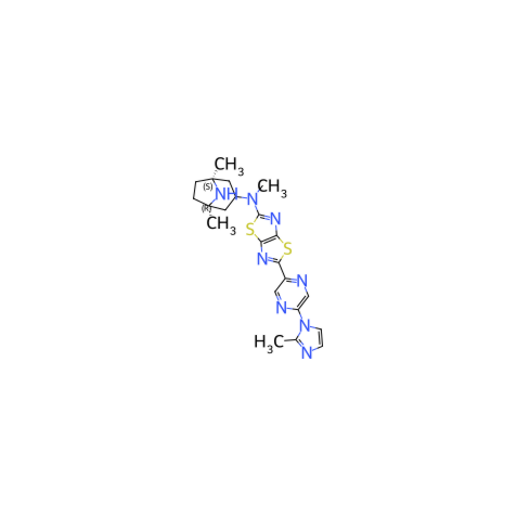 Cc1nccn1-c1cnc(-c2nc3sc(N(C)C4C[C@]5(C)CC[C@](C)(C4)N5)nc3s2)cn1